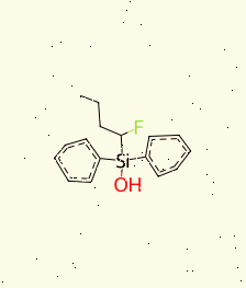 CCCC(F)[Si](O)(c1ccccc1)c1ccccc1